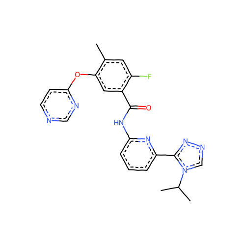 Cc1cc(F)c(C(=O)Nc2cccc(-c3nncn3C(C)C)n2)cc1Oc1ccncn1